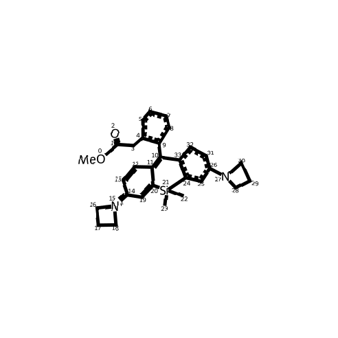 COC(=O)Cc1ccccc1C1=C2C=CC(=[N+]3CCC3)C=C2[Si](C)(C)c2cc(N3CCC3)ccc21